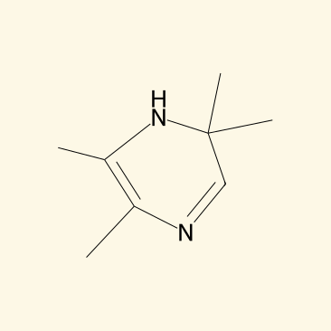 CC1=C(C)NC(C)(C)C=N1